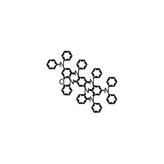 c1ccc(N(c2ccccc2)c2cc3oc4ccccc4n4c5cc6c(cc5n(-c5ccccc5)c(c2)c34)n(-c2ccccc2)c2cc(N(c3ccccc3)c3ccccc3)cc3c2n6c2ccccc2n3-c2ccccc2)cc1